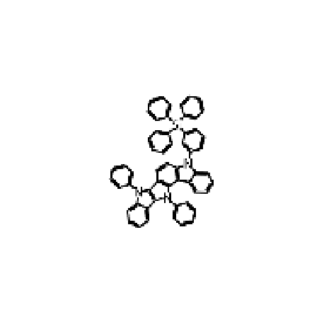 c1ccc(-n2c3ccccc3c3c2c2ccc4c(c5ccccc5n4-c4cccc([Si](c5ccccc5)(c5ccccc5)c5ccccc5)c4)c2n3-c2ccccc2)cc1